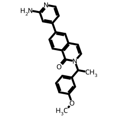 COc1cccc(C(C)n2ccc3cc(-c4ccnc(N)c4)ccc3c2=O)c1